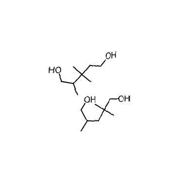 CC(CO)C(C)(C)CCO.CC(CO)CC(C)(C)CO